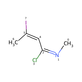 C/N=C(Cl)\C=C(/C)I